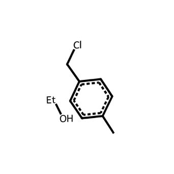 CCO.Cc1ccc(CCl)cc1